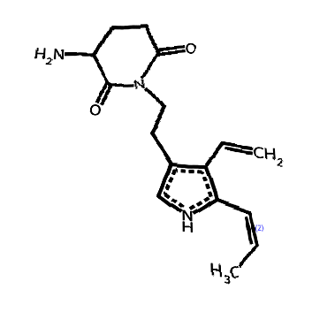 C=Cc1c(CCN2C(=O)CCC(N)C2=O)c[nH]c1/C=C\C